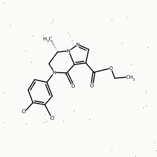 CCOC(=O)c1cnn2c1C(=O)N(c1ccc(Cl)c(Cl)c1)C[C@@H]2C